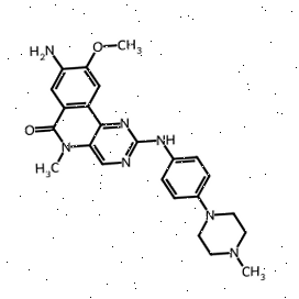 COc1cc2c(cc1N)c(=O)n(C)c1cnc(Nc3ccc(N4CCN(C)CC4)cc3)nc21